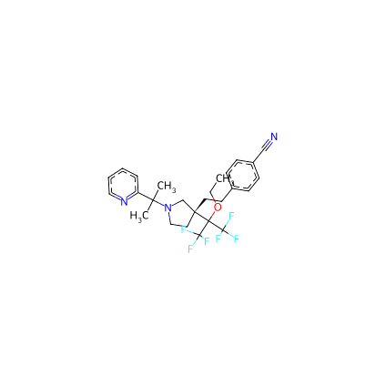 CCOC(C(F)(F)F)(C(F)(F)F)[C@]1(CCc2ccc(C#N)cc2)CCN(C(C)(C)c2ccccn2)C1